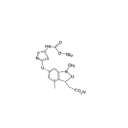 Cc1cc(Oc2ncc(NC(=O)OC(C)(C)C)s2)cc2c1C(CC(=O)O)OB2O